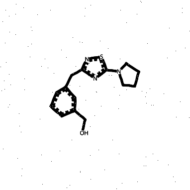 OCc1cccc(Cc2nsc(N3CCCC3)n2)c1